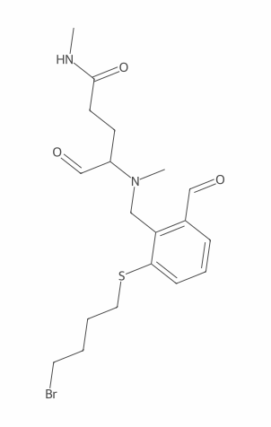 CNC(=O)CCC(C=O)N(C)Cc1c(C=O)cccc1SCCCCBr